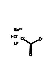 O=C([O-])[O-].[Ba+2].[Li+].[OH-]